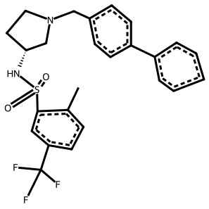 Cc1ccc(C(F)(F)F)cc1S(=O)(=O)N[C@@H]1CCN(Cc2ccc(-c3ccccc3)cc2)C1